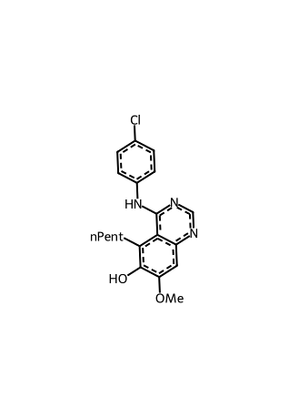 CCCCCc1c(O)c(OC)cc2ncnc(Nc3ccc(Cl)cc3)c12